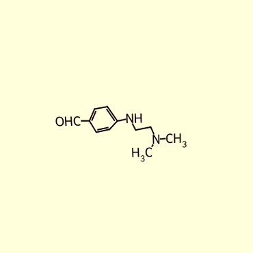 CN(C)CCNc1ccc(C=O)cc1